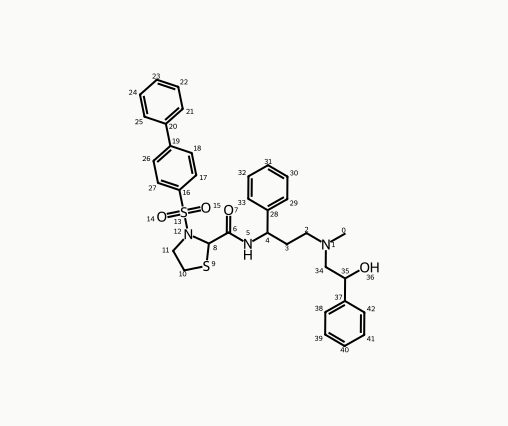 CN(CCC(NC(=O)C1SCCN1S(=O)(=O)c1ccc(-c2ccccc2)cc1)c1ccccc1)CC(O)c1ccccc1